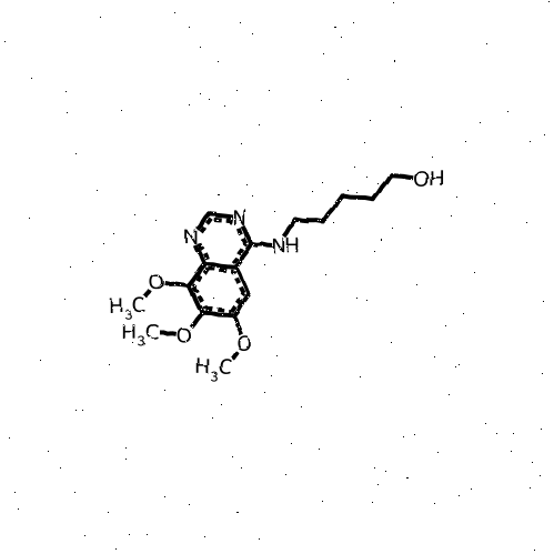 COc1cc2c(NCCCCCO)ncnc2c(OC)c1OC